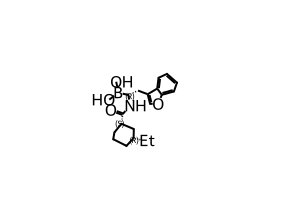 CC[C@@H]1CCC[C@H](C(=O)N[C@@H](Cc2coc3ccccc23)B(O)O)C1